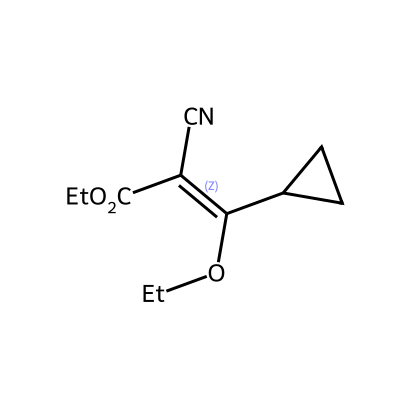 CCOC(=O)/C(C#N)=C(\OCC)C1CC1